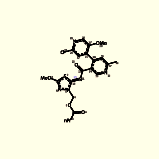 CCCC(=O)OCn1nc(OC)s/c1=N\C(=O)c1cnc(C)cc1-c1cc(Cl)ncc1OC